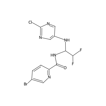 O=C(NC(Nc1cnc(Cl)nc1)C(F)F)c1ccc(Br)cn1